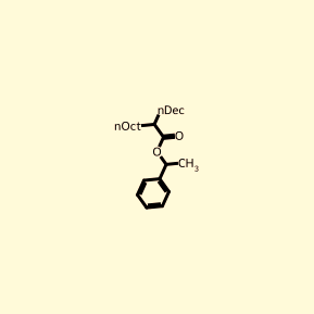 CCCCCCCCCCC(CCCCCCCC)C(=O)OC(C)c1ccccc1